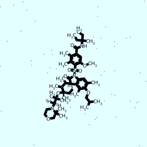 [2H]C([2H])(N1CCOCC1(C)C)C(C)(C)O[C@@]1(C)CC[C@@]2(C(=O)N(S(=O)(=O)c3c(OC)cc(C(=O)NC(C)(CC)CC)c(C)c3C)c3cc(C)c(OCC(C)C)c(C)c32)C(C)C1C